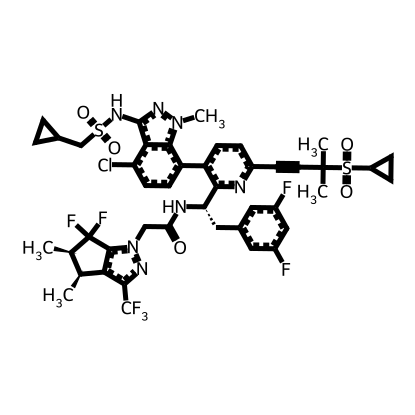 C[C@@H]1c2c(C(F)(F)F)nn(CC(=O)N[C@@H](Cc3cc(F)cc(F)c3)c3nc(C#CC(C)(C)S(=O)(=O)C4CC4)ccc3-c3ccc(Cl)c4c(NS(=O)(=O)CC5CC5)nn(C)c34)c2C(F)(F)[C@@H]1C